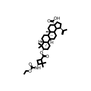 C=C(C)[C@@H]1CC[C@]2(C(=O)O)CC[C@]3(C)C(CC[C@@H]4[C@@]5(C)CC[C@H](OC(=O)C6C[C@@H](NC(=O)OCC)C6(C)C)C(C)(C)[C@@H]5CC[C@]43C)C12